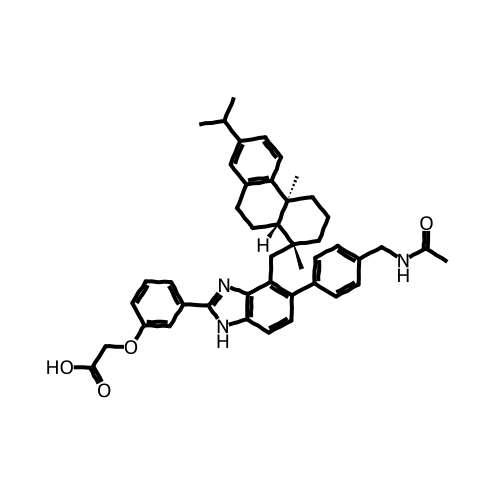 CC(=O)NCc1ccc(-c2ccc3[nH]c(-c4cccc(OCC(=O)O)c4)nc3c2C[C@@]2(C)CCC[C@]3(C)c4ccc(C(C)C)cc4CC[C@@H]23)cc1